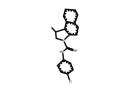 CC1CN(C(=N)Nc2ccc(Cl)cc2)c2ccc3ccccc3c21